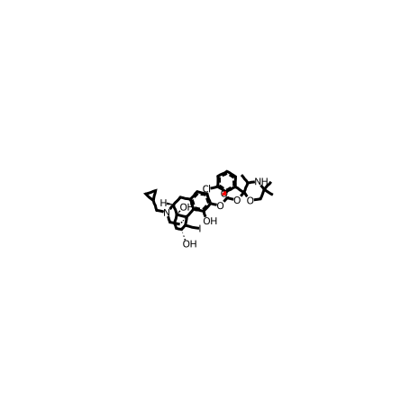 CC1NC(C)(C)COC1(OC(=O)Oc1ccc2c(c1O)[C@]13CCN(CC4CC4)[C@H](C2)[C@]1(O)CC[C@@H](O)C3I)c1cccc(Cl)c1